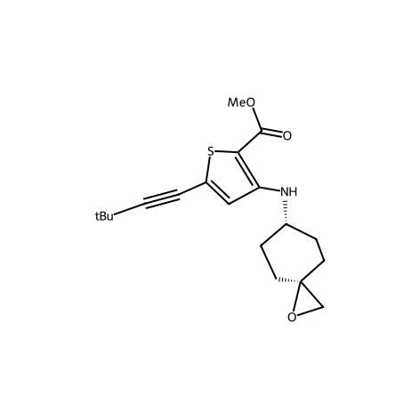 COC(=O)c1sc(C#CC(C)(C)C)cc1N[C@H]1CC[C@]2(CC1)CO2